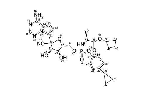 C[C@H](NP(=O)(OC[C@H]1O[C@@](C#N)(c2ccc3c(N)ncnn23)[C@H](O)[C@@H]1O)Oc1ccc(C2CC2)cc1)C(=O)OC1CCC1